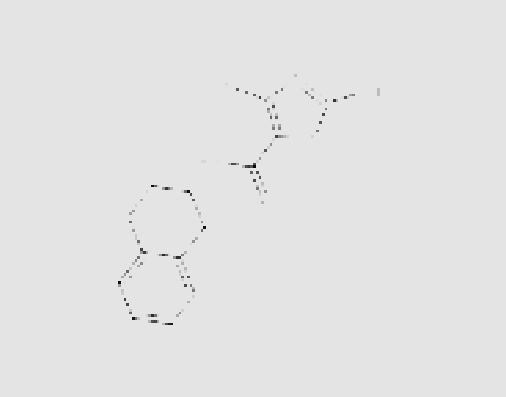 Cc1nc(C(F)(F)F)c(C(=O)N[C@H]2CCc3ccccc3C2)s1